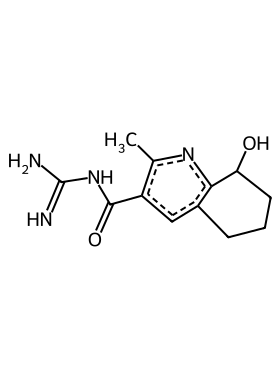 Cc1nc2c(cc1C(=O)NC(=N)N)CCCC2O